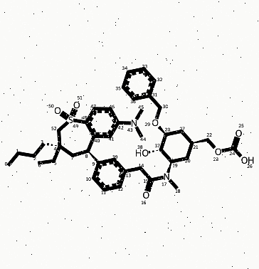 CCCC[C@@]1(CC)C[C@H](c2cccc(CC(=O)N(C)[C@@H]3C[C@H](COC(=O)O)C[C@H](OCc4ccccc4)[C@H]3O)c2)c2cc(N(C)C)ccc2S(=O)(=O)C1